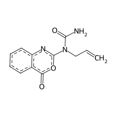 C=CCN(C(N)=O)c1nc2ccccc2c(=O)o1